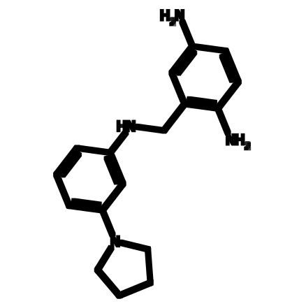 Nc1ccc(N)c(CNc2cccc(N3CCCC3)c2)c1